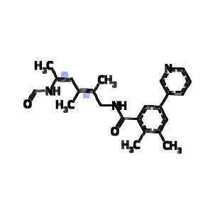 C/C(=C/C(C)=C(\C)CNC(=O)c1cc(-c2cccnc2)cc(C)c1C)NC=O